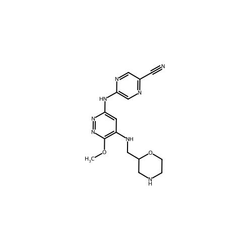 COc1nnc(Nc2cnc(C#N)cn2)cc1NCC1CNCCO1